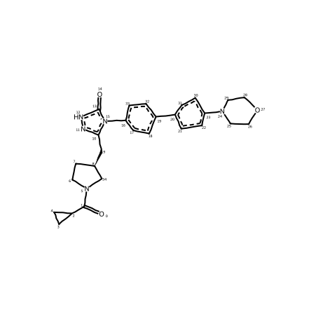 O=C(C1CC1)N1CC[C@@H](Cc2n[nH]c(=O)n2-c2ccc(-c3ccc(N4CCOCC4)cc3)cc2)C1